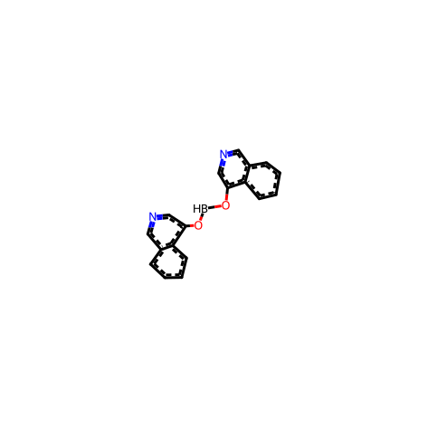 B(Oc1cncc2ccccc12)Oc1cncc2ccccc12